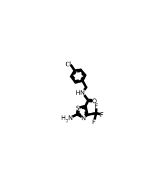 Nc1nc(C(F)(F)F)c(C(=O)NCc2ccc(Cl)cc2)s1